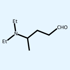 CCN(CC)C(C)CCC=O